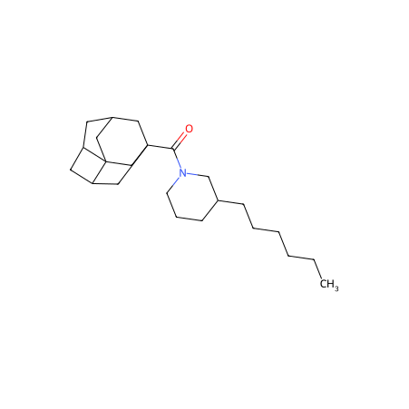 CCCCCCC1CCCN(C(=O)C23CC4CC5CC(C2)C5(C4)C3)C1